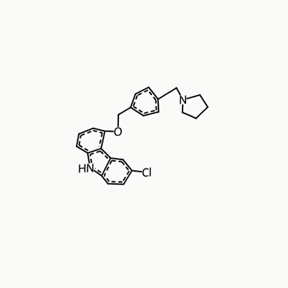 Clc1ccc2[nH]c3cccc(OCc4ccc(CN5CCCC5)cc4)c3c2c1